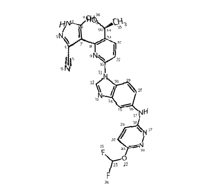 Cc1[nH]nc(C#N)c1-c1nc(-n2cnc3cc(Nc4ccc(OC(F)F)nn4)ccc32)ccc1[C@H](C)O